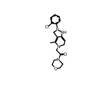 CC1=C2CN(c3ccccc3Cl)NC2=CCN1CC(=O)N1CCOCC1